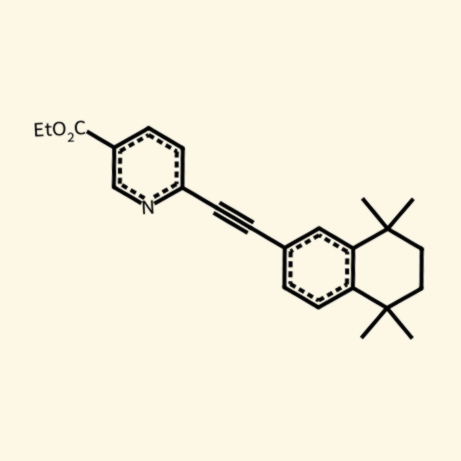 CCOC(=O)c1ccc(C#Cc2ccc3c(c2)C(C)(C)CCC3(C)C)nc1